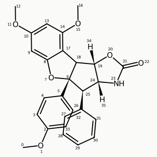 COc1ccc([C@@]23Oc4cc(OC)cc(OC)c4C2[C@@H]2OC(=O)N[C@@H]2[C@H]3c2ccccc2)cc1